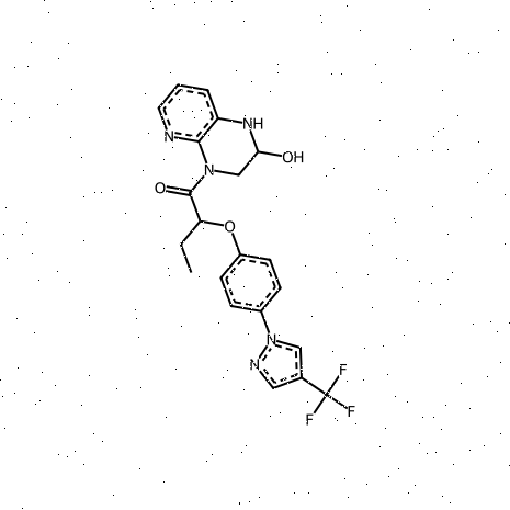 CCC(Oc1ccc(-n2cc(C(F)(F)F)cn2)cc1)C(=O)N1CC(O)Nc2cccnc21